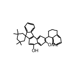 COc1cc2c(O)cc3c(c2cc1C1CCCc2ccccc21)-c1ccccc1C31CC(C)(C)CC(C)(C)C1